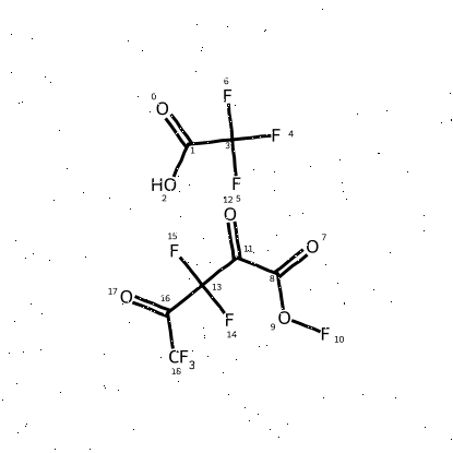 O=C(O)C(F)(F)F.O=C(OF)C(=O)C(F)(F)C(=O)C(F)(F)F